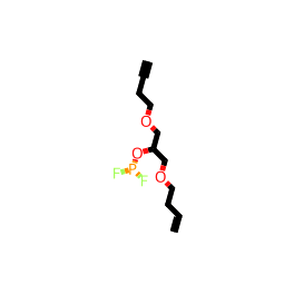 C#CCCOCC(COCCC=C)OP(F)F